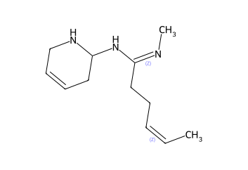 C/C=C\CC/C(=N/C)NC1CC=CCN1